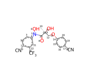 [C-]#[N+]c1ccc(N(O)C(=O)[C@@](C)(O)COc2ccc(C#N)cc2)cc1C(F)(F)F